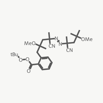 COC(C)(C)CC(C)(C#N)N=NC(C)(C#N)CC(C)(Cc1ccccc1C(=O)OOC(C)(C)C)OC